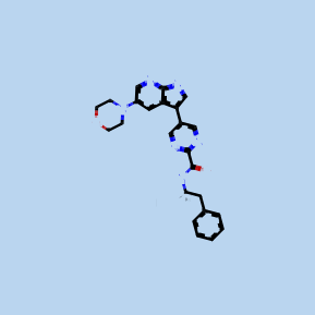 C[C@H](Cc1ccccc1)NC(=O)c1ncc(-c2c[nH]c3ncc(N4CCOCC4)cc23)cn1